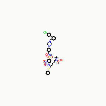 CC(C)(C)N(CCCCC(CSc1ccccc1)Nc1ccc(S(=O)(=O)NC(=O)c2ccc(N3CCN(Cc4ccccc4-c4ccc(Cl)cc4)CC3)cc2)cc1[N+](=O)[O-])C(=O)O